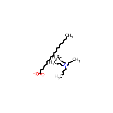 CCCCCCCCCCCCCCCCCC(=O)O.CCCC[N+](CCCC)(CCCC)CCCC